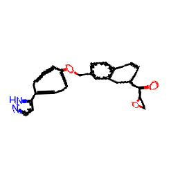 O=C(C1CCc2ccc(COC3=CC=C(c4ccn[nH]4)C=C=C3)cc2C1)C1CO1